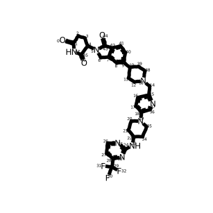 O=C1CCC(N2Cc3cc(C4CCN(Cc5ccc(N6CCC(Nc7nccc(C(F)(F)F)n7)CC6)cn5)CC4)ccc3C2=O)C(=O)N1